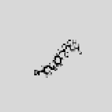 C=C(C)OC(=O)C[C@H]1CC[C@@H](Oc2ccc(Br)cn2)CC1